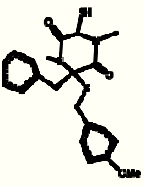 COc1ccc(CS[C@@]2(Cc3ccccc3)C(=O)N(C)C(S)C(=O)N2C)cc1